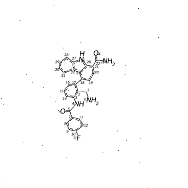 NCc1c(NC(=O)c2ccc(F)cc2)cccc1-c1ccc(C(N)=O)c2[nH]c3ccccc3c12